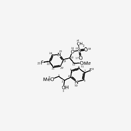 COCC(O)c1ccc(F)cn1.COCC(OS(C)(=O)=O)c1ccc(F)cn1